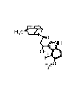 CC(CC(=O)N1C2CC3CC1CC(C)(C3)C2)c1c[nH]c2ccc(OC(F)(F)F)c(F)c12